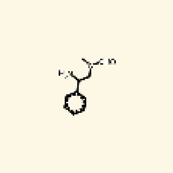 CN(C=O)CC(N)c1ccccc1